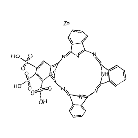 O=S(=O)(O)c1cc2c3nc4nc(nc5[nH]c(nc6nc(nc([nH]3)c2c(S(=O)(=O)O)c1S(=O)(=O)O)-c1ccccc1-6)c1ccccc51)-c1ccccc1-4.[Zn]